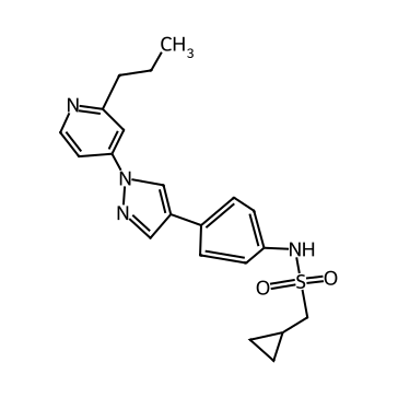 CCCc1cc(-n2cc(-c3ccc(NS(=O)(=O)CC4CC4)cc3)cn2)ccn1